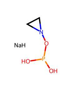 OP(O)ON1CC1.[NaH]